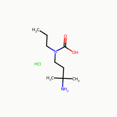 CCCN(CCC(C)(C)N)C(=O)O.Cl